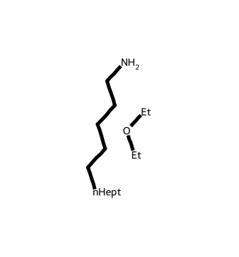 CCCCCCCCCCCCN.CCOCC